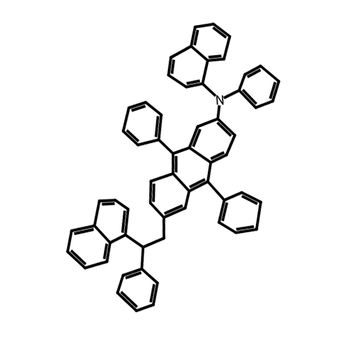 c1ccc(-c2c3ccc(N(c4ccccc4)c4cccc5ccccc45)cc3c(-c3ccccc3)c3ccc(CC(c4ccccc4)c4cccc5ccccc45)cc23)cc1